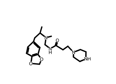 CC(Cc1ccc2c(c1)OCO2)N(C)CNC(=O)CCN1CCNCC1